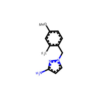 COc1ccc(Cn2ccc(N)n2)c(C(F)(F)F)c1